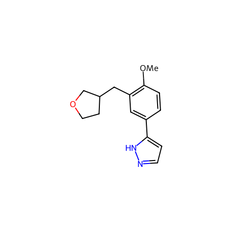 COc1ccc(-c2ccn[nH]2)cc1CC1CCOC1